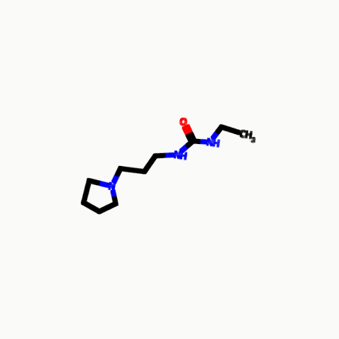 CCNC(=O)NCCCN1CCCC1